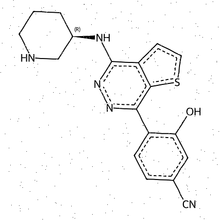 N#Cc1ccc(-c2nnc(N[C@@H]3CCCNC3)c3ccsc23)c(O)c1